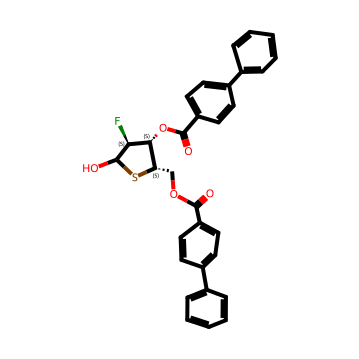 O=C(OC[C@@H]1SC(O)[C@@H](F)[C@@H]1OC(=O)c1ccc(-c2ccccc2)cc1)c1ccc(-c2ccccc2)cc1